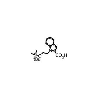 CC(C)(C)[Si](C)(C)OCCn1c(C(=O)O)cc2ccccc21